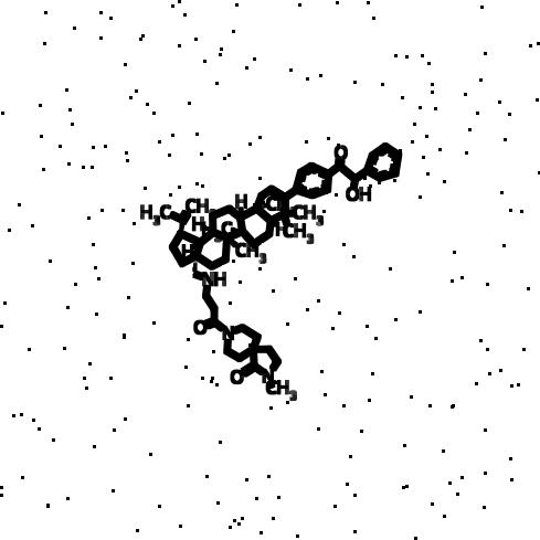 C=C(C)[C@@H]1CC[C@]2(CNCCC(=O)N3CCC4(CCN(C)C4=O)CC3)CC[C@]3(C)[C@H](CC[C@@H]4[C@@]5(C)CC=C(c6ccc(C(=O)C(O)c7ccccc7)cc6)C(C)(C)[C@@H]5CC[C@]43C)[C@@H]12